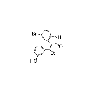 CCC(=C1C(=O)Nc2ccc(Br)cc21)c1cccc(O)c1